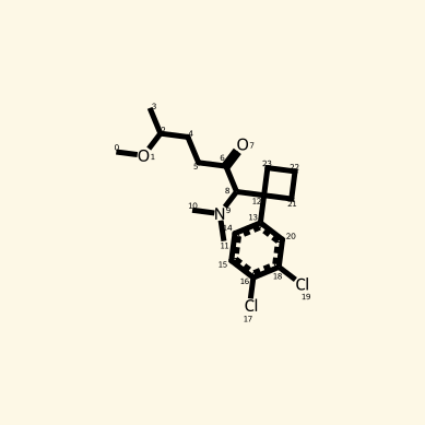 COC(C)CCC(=O)C(N(C)C)C1(c2ccc(Cl)c(Cl)c2)CCC1